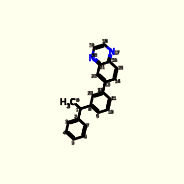 CC(c1ccccc1)c1cccc(-c2ccc3nccnc3c2)c1